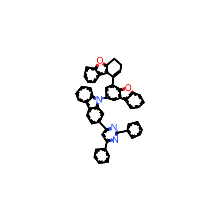 C1=C(c2cc(-n3c4ccccc4c4ccc(-c5cc(-c6ccccc6)nc(-c6ccccc6)n5)cc43)cc3c2oc2ccccc23)c2c(oc3ccccc23)CC1